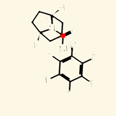 NC(=O)N1[C@@H]2CC[C@H]1C[C@@H](Oc1c(F)c(F)c(F)c(F)c1F)C2